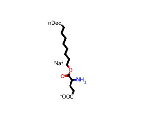 CCCCCCCCCCCCCCCCCCOC(=O)C(N)CCC(=O)[O-].[Na+]